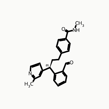 CNC(=O)c1ccc(CC[C@H](c2ccnc(C)c2)c2ccccc2C=O)cc1